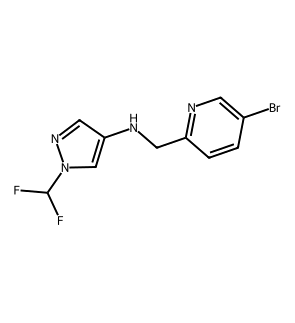 FC(F)n1cc(NCc2ccc(Br)cn2)cn1